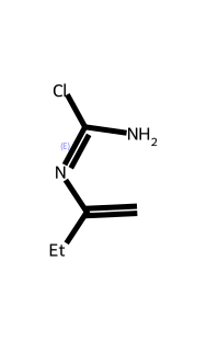 C=C(CC)/N=C(\N)Cl